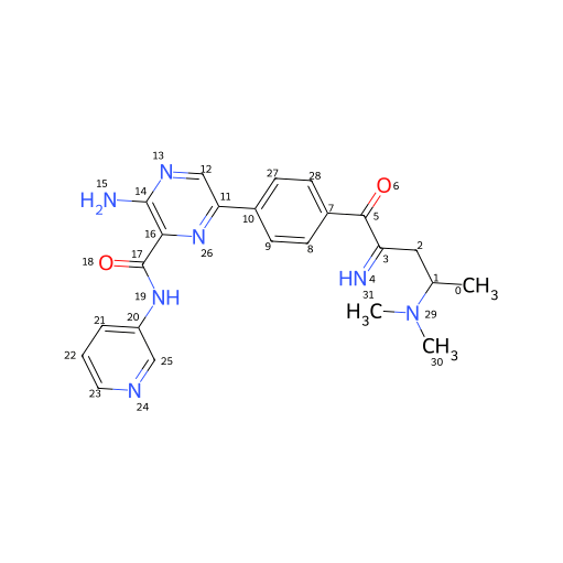 CC(CC(=N)C(=O)c1ccc(-c2cnc(N)c(C(=O)Nc3cccnc3)n2)cc1)N(C)C